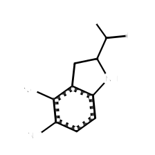 N#Cc1ccc2c(c1C#N)CC(C(F)F)N2